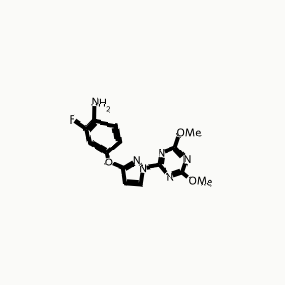 COc1nc(OC)nc(-n2ccc(Oc3ccc(N)c(F)c3)n2)n1